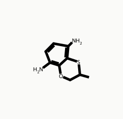 CC1COc2c(N)ccc(N)c2S1